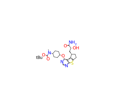 CN(C(=O)OC(C)(C)C)C1CCC(Oc2ncnc3sc4c(c23)[C@@H](C[C@@H](O)C(N)=O)CC4)CC1